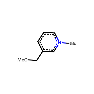 COCc1ccc[n+](C(C)(C)C)c1